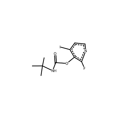 CC(C)(C)NC(=O)Oc1c(I)ccnc1F